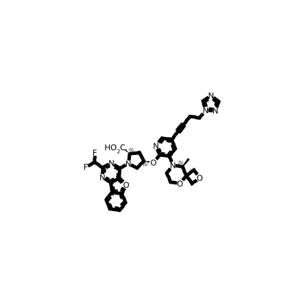 C[C@@H]1N(c2cc(C#CCCn3cncn3)cnc2O[C@H]2C[C@@H](C(=O)O)N(c3nc(C(F)F)nc4c3oc3ccccc34)C2)CCOC12COC2